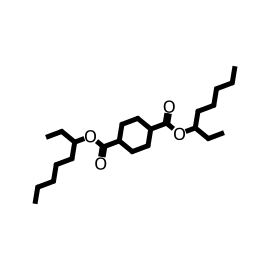 CCCCCC(CC)OC(=O)C1CCC(C(=O)OC(CC)CCCCC)CC1